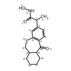 CC(C(=O)NO)c1ccc2c(c1)SCC1CCCCC1C2=O